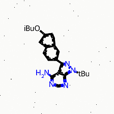 CC(C)COc1ccc2cc(-c3nn(C(C)(C)C)c4ncnc(N)c34)ccc2c1